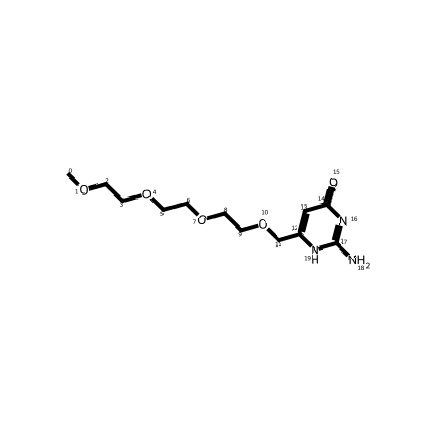 COCCOCCOCCOCc1cc(=O)nc(N)[nH]1